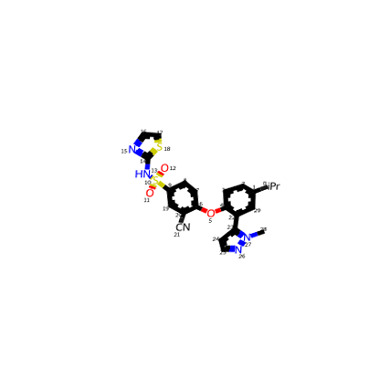 CC(C)c1ccc(Oc2ccc(S(=O)(=O)Nc3nccs3)cc2C#N)c(-c2ccnn2C)c1